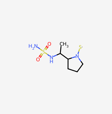 CC(NS(N)(=O)=O)C1CCCN1[S]